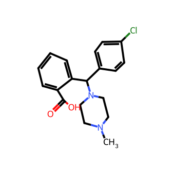 CN1CCN(C(c2ccc(Cl)cc2)c2ccccc2C(=O)O)CC1